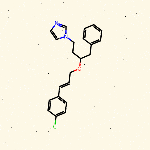 Clc1ccc(C=CCOC(CCn2ccnc2)Cc2ccccc2)cc1